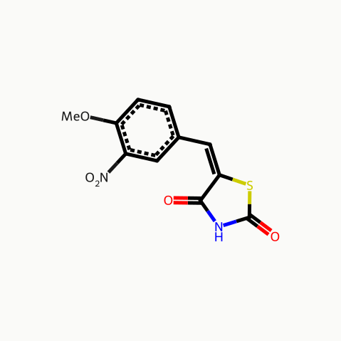 COc1ccc(C=C2SC(=O)NC2=O)cc1[N+](=O)[O-]